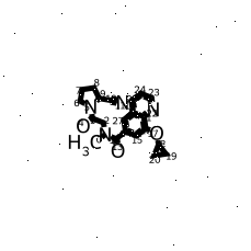 CN(CC(=O)N1CCCC1C#N)C(=O)c1cc(OC2CC2)c2ncccc2c1